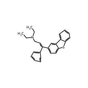 CCN(CC)CC=C(c1ccccc1)c1ccc2sc3ccccc3c2c1